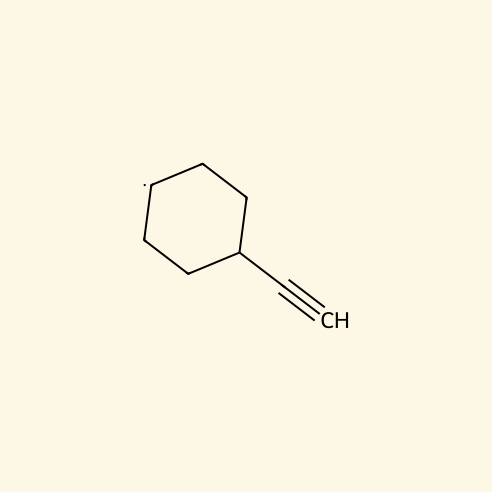 C#CC1CC[CH]CC1